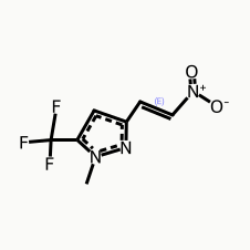 Cn1nc(/C=C/[N+](=O)[O-])cc1C(F)(F)F